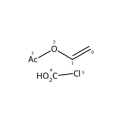 C=COC(C)=O.O=C(O)Cl